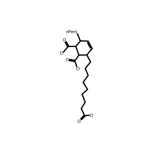 CCCCCC1C=CC(CCCCCCCCC(=O)Cl)C(C(=O)Cl)C1C(=O)Cl